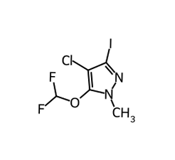 Cn1nc(I)c(Cl)c1OC(F)F